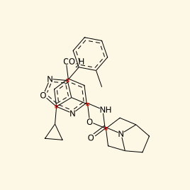 Cc1ccccc1-c1noc(C2CC2)c1COC1CC2CCC(C1)N2C(=O)Nc1cc(C(=O)O)ccn1